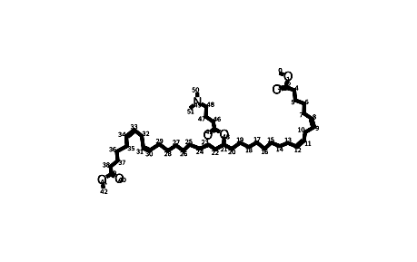 COC(=O)CCCC/C=C\C/C=C\CCCCCCCCC(CCCCCCCC/C=C\C/C=C\CCCCC(=O)OC)OC(=O)CCCN(C)C